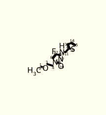 CCOCCn1cc(F)c(NCc2cccs2)nc1=O